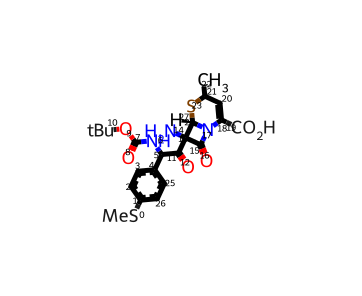 CSc1ccc(C(NC(=O)OC(C)(C)C)C(=O)C2(N)C(=O)N3C(C(=O)O)=CC(C)S[C@H]32)cc1